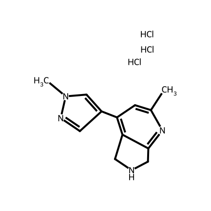 Cc1cc(-c2cnn(C)c2)c2c(n1)CNC2.Cl.Cl.Cl